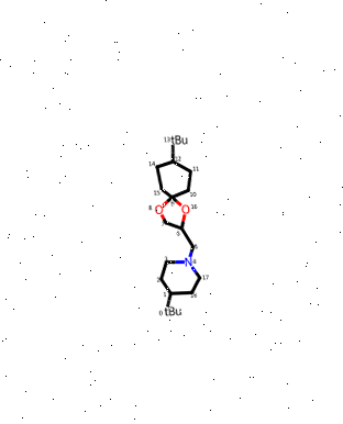 CC(C)(C)C1CCN(CC2COC3(CCC(C(C)(C)C)CC3)O2)CC1